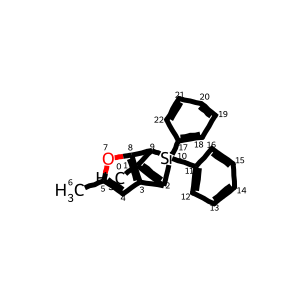 CC1=C2c3cc(C)oc3C1[Si]2(c1ccccc1)c1ccccc1